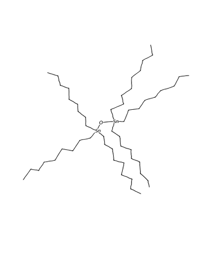 CCCCCCCC[CH2][Sn]([CH2]CCCCCCCC)([CH2]CCCCCCCC)[O][Sn]([CH2]CCCCCCCC)([CH2]CCCCCCCC)[CH2]CCCCCCCC